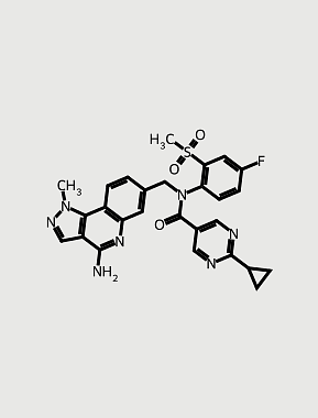 Cn1ncc2c(N)nc3cc(CN(C(=O)c4cnc(C5CC5)nc4)c4ccc(F)cc4S(C)(=O)=O)ccc3c21